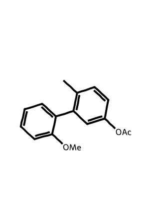 COc1ccccc1-c1cc(OC(C)=O)ccc1C